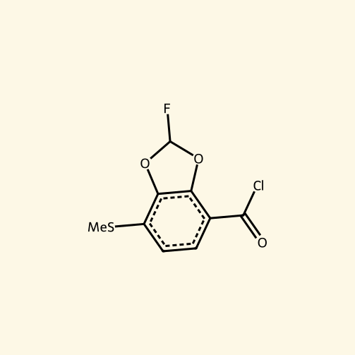 CSc1ccc(C(=O)Cl)c2c1OC(F)O2